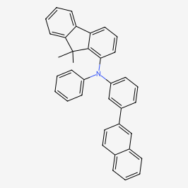 CC1(C)c2ccccc2-c2cccc(N(c3ccccc3)c3cccc(-c4ccc5ccccc5c4)c3)c21